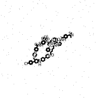 Cc1ncsc1-c1ccc([C@H](C)NC(=O)[C@@H]2CCCN2C(=O)C(NC(=O)CCCCC(=O)N2CCC(C3CCC(NC4(C)CCC(c5ccc(Cl)cc5)=C(CN5CCN(c6ccc(C(=O)NSc7ccc(N[C@H](CCN8CCOCC8)CSc8ccccc8)c(S(=O)(=O)C(F)(F)F)c7)cc6)CC5)C4)CC3)CC2)C(C)(C)C)cc1